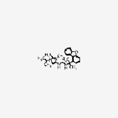 Cc1n(C(C)C)cc(NCNC(C)(C)c2cccc3oc4ccccc4c23)[n+]1C